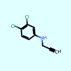 C#CCNc1ccc(Cl)c(Cl)c1